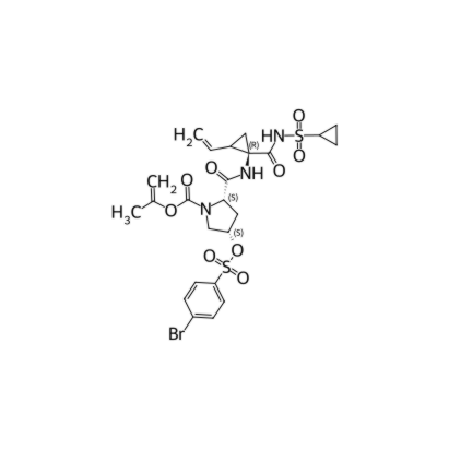 C=CC1C[C@]1(NC(=O)[C@@H]1C[C@H](OS(=O)(=O)c2ccc(Br)cc2)CN1C(=O)OC(=C)C)C(=O)NS(=O)(=O)C1CC1